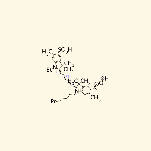 CCN1/C(=C/C=C/C=C/C2=[N+](CCCCCC(C)C)c3cc(C)c(SOOO)cc3C2(C)C)C(C)(C)c2cc(S(=O)(=O)O)c(C)cc21